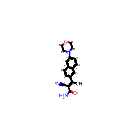 C/C(=C(/C#N)C(N)=O)c1ccc2cc(N3CCOCC3)ccc2c1